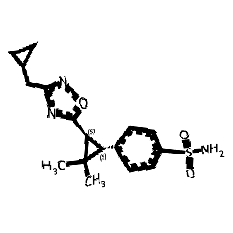 CC1(C)[C@@H](c2ccc(S(N)(=O)=O)cc2)[C@@H]1c1nc(CC2CC2)no1